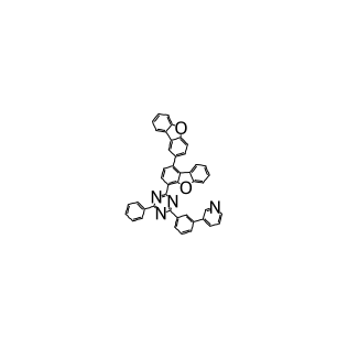 c1ccc(-c2nc(-c3cccc(-c4cccnc4)c3)nc(-c3ccc(-c4ccc5oc6ccccc6c5c4)c4c3oc3ccccc34)n2)cc1